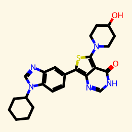 O=c1[nH]cnc2c(-c3ccc4c(c3)ncn4C3CCCCC3)sc(N3CCC(O)CC3)c12